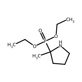 CCOP(=O)(OCC)C1(C)CCCN1